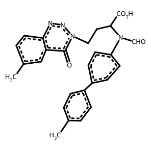 Cc1ccc(-c2ccc(N(C=O)C(CCn3nnc4ccc(C)cc4c3=O)C(=O)O)cc2)cc1